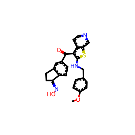 COc1ccc(CNc2sc3cnccc3c2C(=O)c2ccc3c(c2)CC/C3=N\O)cc1